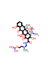 C[C@H]1c2cccc(O)c2C(=O)C2=C(O)[C@]3(O)C(=O)C(C(=O)NCN(C)CCON(O)O)=C(O)[C@@H](N(C)C)[C@@H]3[C@@H](O)[C@@H]21